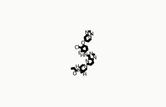 C=CC(=O)N1C[C@H]2C[C@@H]1CN(c1ccc3ncnc(Nc4ccc(Oc5ccn6ncnc6c5)c(Cl)c4F)c3n1)C2